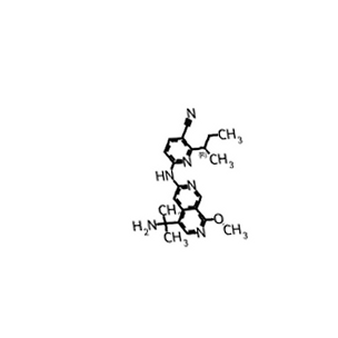 CC[C@@H](C)c1nc(Nc2cc3c(C(C)(C)N)cnc(OC)c3cn2)ccc1C#N